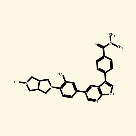 Cc1cc(-c2cnc3[nH]cc(-c4ccc(C(=O)N(C)C)cc4)c3c2)ccc1N1CC2CN(C)CC2C1